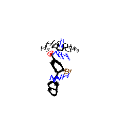 CC1(C)CC(NC(=O)c2ccc(-c3nc4cc5ccccc5cc4[nH]3)c(Br)c2)CC(C)(C)N1